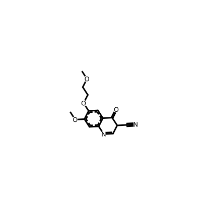 COCCOc1cc2c(cc1OC)N=CC(C#N)C2=O